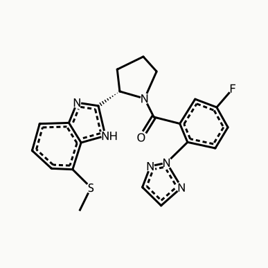 CSc1cccc2nc([C@@H]3CCCN3C(=O)c3cc(F)ccc3-n3nccn3)[nH]c12